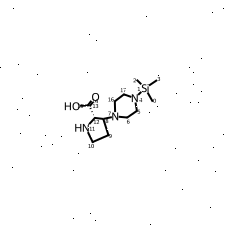 C[Si](C)(C)N1CCN(C2CCN[C@@H]2C(=O)O)CC1